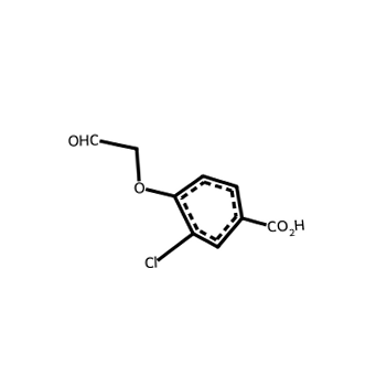 O=CCOc1ccc(C(=O)O)cc1Cl